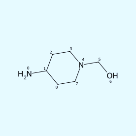 NC1CCN(CO)CC1